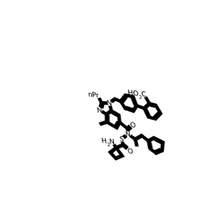 CCCc1nc2c(C)cc(C(=O)N(SC(=O)C3(N)CCC3)C(C)Cc3ccccc3)cc2n1Cc1ccc(-c2ccccc2C(=O)O)cc1